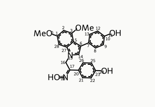 COc1cc(OC)c2c(-c3ccc(O)cc3)cn(C/C(=N\O)c3ccc(O)cc3)c2c1